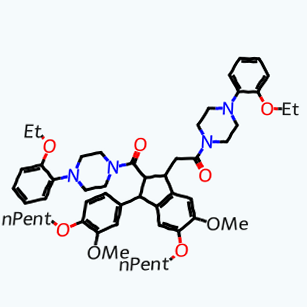 CCCCCOc1ccc(C2c3cc(OCCCCC)c(OC)cc3C(CC(=O)N3CCN(c4ccccc4OCC)CC3)C2C(=O)N2CCN(c3ccccc3OCC)CC2)cc1OC